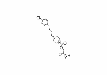 CNC(=O)COC(=O)N1CCN(CCCCc2ccc(Cl)cc2)CC1